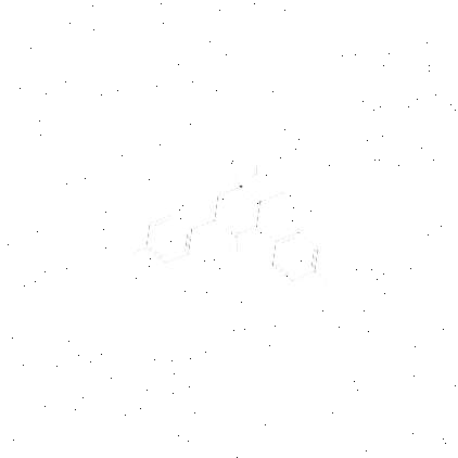 O=C(O)CC1C(c2ccc(C(F)(F)F)cc2)NC(c2ccc(C(F)(F)F)cc2)CC1(F)F